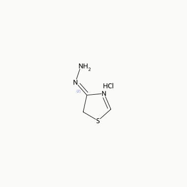 Cl.N/N=C1/CSC=N1